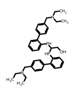 CCN(CC)Cc1ccc(-c2ccccc2PC(CO)Pc2ccccc2-c2ccc(CN(CC)CC)cc2)cc1